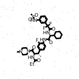 CCC(=O)N[C@@H](C(=O)N1CCN(C)CC1)[C@@H](C)c1ccc(NC(=O)[C@@H](NC(=O)C(F)(F)c2cccc(NS(C)(=O)=O)c2)C2CCCCC2)c(F)c1